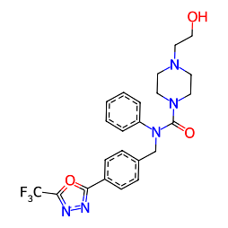 O=C(N1CCN(CCO)CC1)N(Cc1ccc(-c2nnc(C(F)(F)F)o2)cc1)c1ccccc1